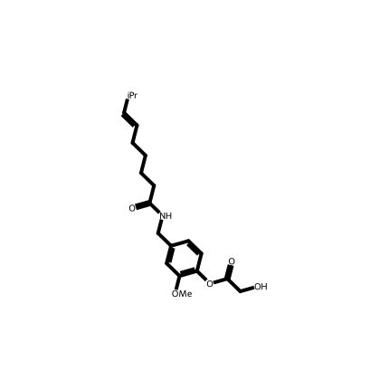 COc1cc(CNC(=O)CCCCC=CC(C)C)ccc1OC(=O)CO